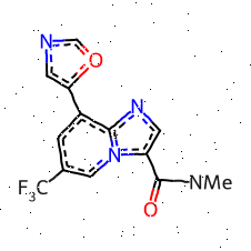 CNC(=O)c1cnc2c(-c3cnco3)cc(C(F)(F)F)cn12